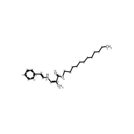 CCCCCCCCCCCCOC(=O)C(C)=CNC=Cc1ccccc1